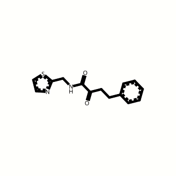 O=C(CCc1ccccc1)C(=O)NCc1nccs1